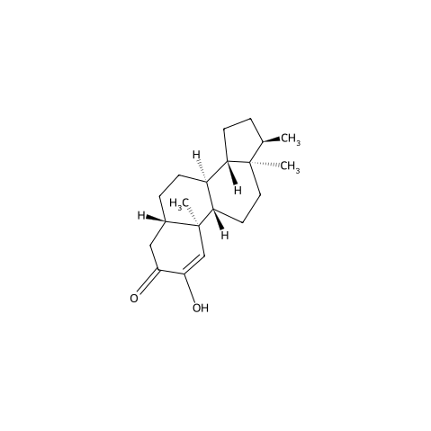 C[C@@H]1CC[C@H]2[C@@H]3CC[C@H]4CC(=O)C(O)=C[C@]4(C)[C@H]3CC[C@]12C